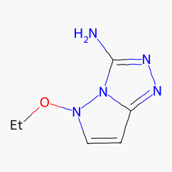 CCOn1ccc2nnc(N)n21